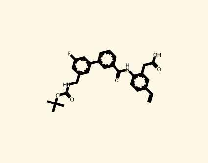 C=Cc1ccc(NC(=O)c2cccc(-c3cc(F)cc(CNC(=O)OC(C)(C)C)c3)c2)c(CC(=O)O)c1